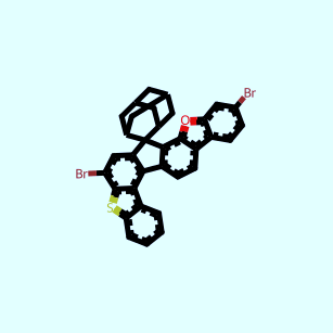 Brc1ccc2c(c1)oc1c3c(ccc12)-c1c(cc(Br)c2sc4ccccc4c12)C31C2CC3CC(C2)CC1C3